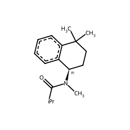 CC(C)C(=O)N(C)[C@@H]1CCC(C)(C)c2ccccc21